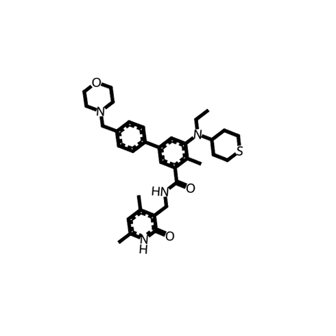 CCN(c1cc(-c2ccc(CN3CCOCC3)cc2)cc(C(=O)NCc2c(C)cc(C)[nH]c2=O)c1C)C1CCSCC1